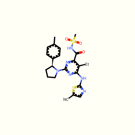 CCc1c(Nc2ncc(C#N)s2)nc(N2CCC[C@H]2c2ccc(C)cc2)nc1C(=O)NS(C)(=O)=O